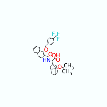 CC(C)OC12CC3CC(C1)CC([C@H](NC(=O)c1ccc4ccccc4c1OCc1ccc(C(F)(F)F)cc1)C(=O)O)(C3)C2